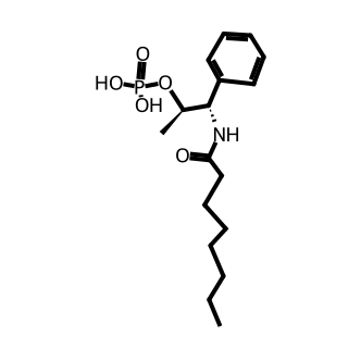 CCCCCCCC(=O)N[C@@H](c1ccccc1)[C@@H](C)OP(=O)(O)O